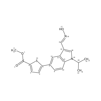 COC(=O)c1ccc(-c2ccc3c(c2)c(C=NO)cn3C(C)C)s1